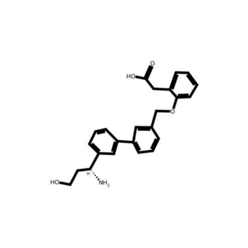 N[C@H](CCO)c1cccc(-c2cccc(COc3ccccc3CC(=O)O)c2)c1